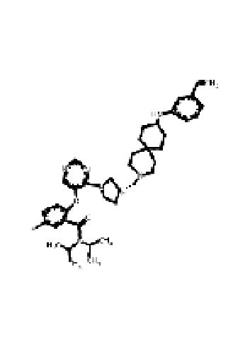 C=Cc1cccc(NC2CCC3(CC2)CCN(C[C@@H]2CCN(c4ncncc4Oc4ccc(F)cc4C(=O)N(C(C)C)C(C)C)C2)CC3)c1